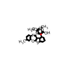 Cc1ccc2c(c1)Oc1sc3cccc(C(=CC(=O)O)C(=O)O)c3c1C(N1CCN(C)CC1)=N2.O